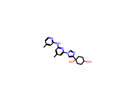 Cc1ccnc(Nc2cc(C)cc(-n3cnc([C@]4(O)CC[C@@H](O)CC4)c3)n2)c1